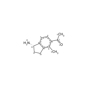 CC(=O)c1ccc2c(c1C)CC[C@@H]2N